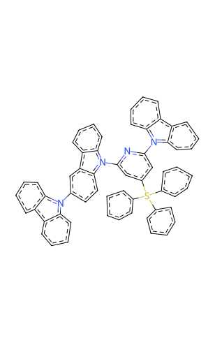 c1ccc(S(c2ccccc2)(c2ccccc2)c2cc(-n3c4ccccc4c4ccccc43)nc(-n3c4ccccc4c4cc(-n5c6ccccc6c6ccccc65)ccc43)c2)cc1